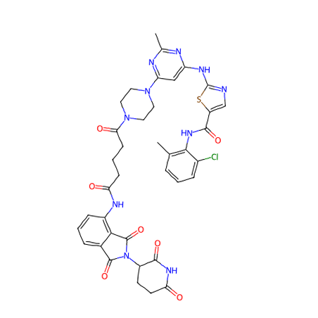 Cc1nc(Nc2ncc(C(=O)Nc3c(C)cccc3Cl)s2)cc(N2CCN(C(=O)CCCC(=O)Nc3cccc4c3C(=O)N(C3CCC(=O)NC3=O)C4=O)CC2)n1